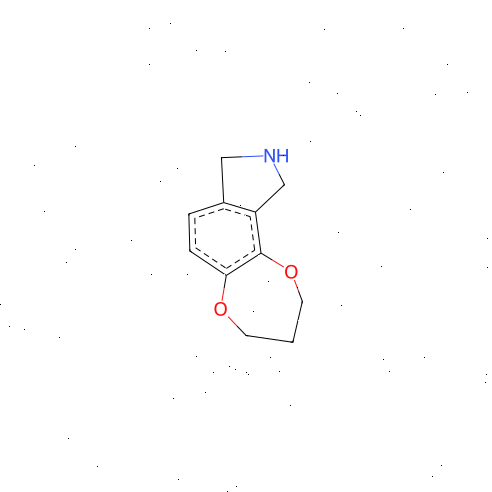 c1cc2c(c3c1CNC3)OCCCO2